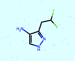 Nc1c[nH]nc1CC(F)F